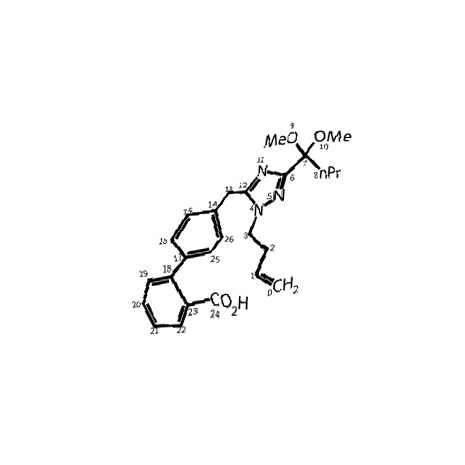 C=CCCn1nc(C(CCC)(OC)OC)nc1Cc1ccc(-c2ccccc2C(=O)O)cc1